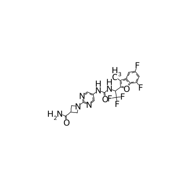 Cc1c(C(NC(=O)Nc2cnc(N3CC(C(N)=O)C3)nc2)C(F)(F)F)oc2c(F)cc(F)cc12